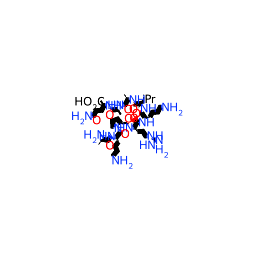 CC(C)[C@@H](NC(=O)[C@H](CCCCN)NC(=O)[C@H](CCCNC(=N)N)NC(=O)[C@@H]1CCCN1C(=O)[C@H](CCCCN)NC(=O)[C@H](C)N)C(=O)N[C@@H](C)C(=O)N[C@@H](C)C(=O)N[C@@H](CCC(N)=O)C(=O)O